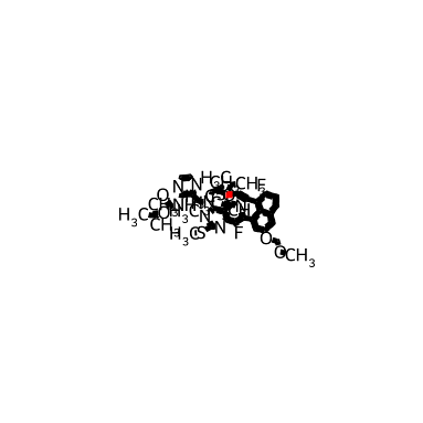 COCOc1cc(-c2nc3c4c(nc(SC)nc4c2F)N(C(C)c2nccnc2NC(=O)OC(C)(C)C)CCO3)c2c(C#C[Si](C(C)C)(C(C)C)C(C)C)c(F)ccc2c1